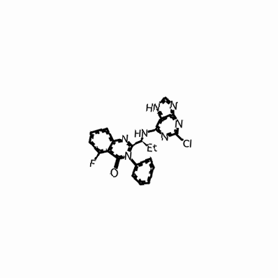 CC[C@H](Nc1nc(Cl)nc2nc[nH]c12)c1nc2cccc(F)c2c(=O)n1-c1ccccc1